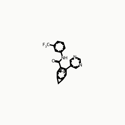 O=C(Nc1cccc(C(F)(F)F)c1)c1c(-c2cncnc2)c2oc1c1c2C1